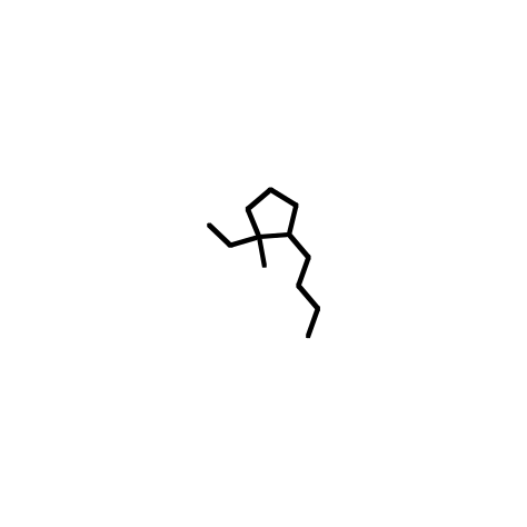 CCCCC1CCCC1(C)CC